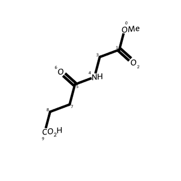 COC(=O)CNC(=O)CCC(=O)O